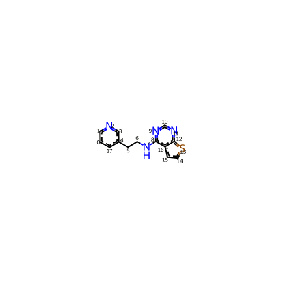 c1cncc(CCNc2ncnc3sccc23)c1